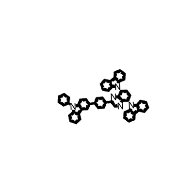 c1ccc(-n2c3ccccc3c3cc(-c4ccc(-c5cnc6c(-n7c8ccccc8c8ccccc87)ccc(-n7c8ccccc8c8ccccc87)c6n5)cc4)ccc32)cc1